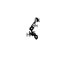 c1ccc2c(c1)sc1c(-c3ccc(CNCCCn4ccnc4)cc3)n[nH]c12